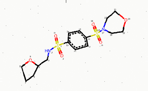 O=S(=O)(NCC1CCCO1)c1ccc(S(=O)(=O)N2CCOCC2)cc1